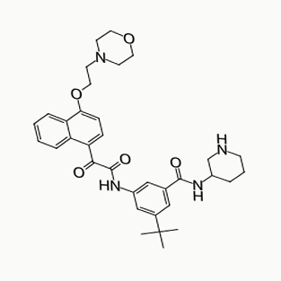 CC(C)(C)c1cc(NC(=O)C(=O)c2ccc(OCCN3CCOCC3)c3ccccc23)cc(C(=O)NC2CCCNC2)c1